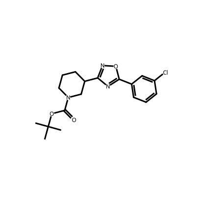 CC(C)(C)OC(=O)N1CCCC(c2noc(-c3cccc(Cl)c3)n2)C1